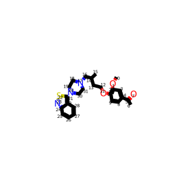 COc1cc(C(C)=O)ccc1OCCC(C)CN1CCN(c2snc3ccccc23)CC1